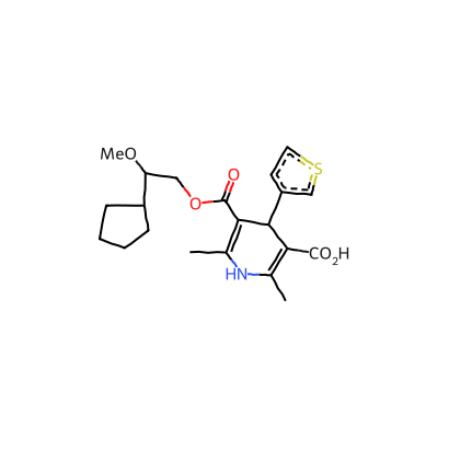 COC(COC(=O)C1=C(C)NC(C)=C(C(=O)O)C1c1ccsc1)C1CCCC1